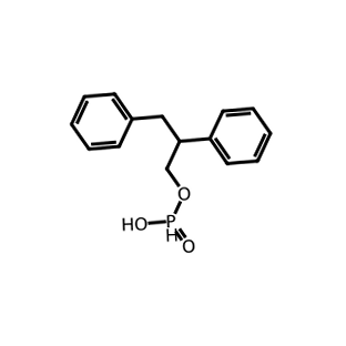 O=[PH](O)OCC(Cc1ccccc1)c1ccccc1